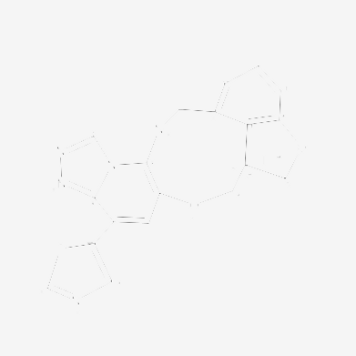 Fc1ccc2c3c1CNc1c(cc(-c4cncs4)c4nncn14)OC[C@@H]3CO2